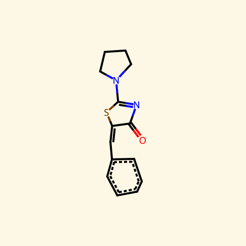 O=C1N=C(N2CCCC2)SC1=Cc1ccccc1